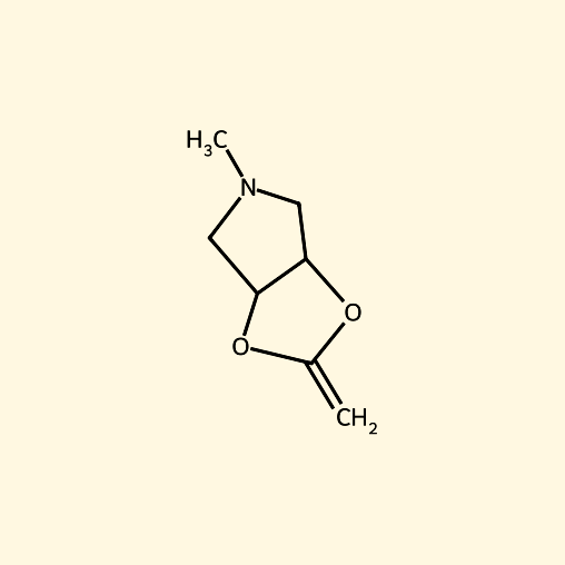 C=C1OC2CN(C)CC2O1